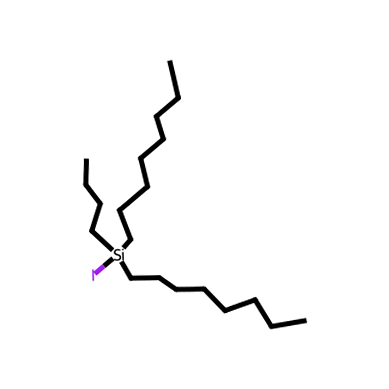 CCCCCCCC[Si](I)(CCCC)CCCCCCCC